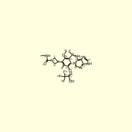 CNC(=O)N1CC(c2c(C)c(Cl)cc(C(C)Nc3ncnc4[nH]cnc34)c2OC)C1.O=C(O)C(F)(F)F